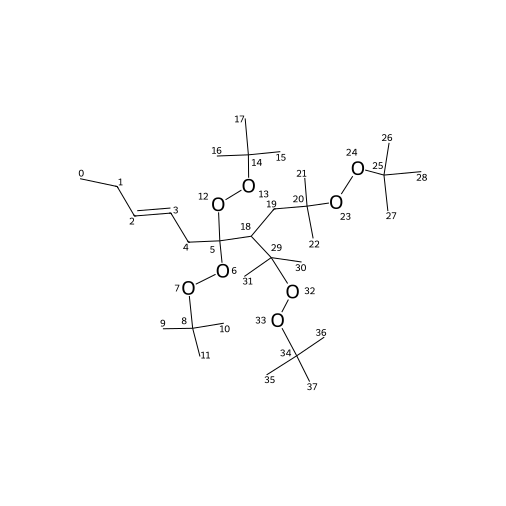 CCC=CCC(OOC(C)(C)C)(OOC(C)(C)C)C(CC(C)(C)OOC(C)(C)C)C(C)(C)OOC(C)(C)C